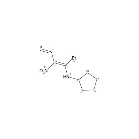 C=C/C(=C(\CC)NC1CCCC1)[N+](=O)[O-]